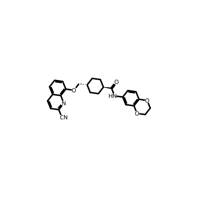 N#Cc1ccc2cccc(OC[C@H]3CC[C@H](C(=O)Nc4ccc5c(c4)OCCO5)CC3)c2n1